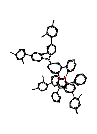 Cc1ccc(-c2ccc3c(c2)c2cc(-c4ccc(C)cc4C)ccc2n3-c2ccc(-c3nc(-c4ccccc4)nc(-c4ccccc4)n3)c(-c3cnccc3-n3c4ccc(-c5ccc(C)cc5C)cc4c4cc(-c5ccc(C)cc5C)ccc43)c2)c(C)c1